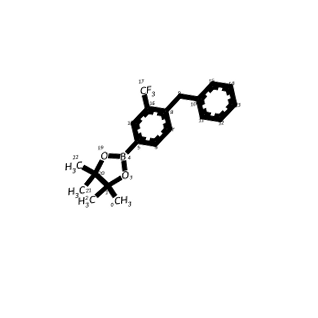 CC1(C)OB(c2ccc(Cc3ccccc3)c(C(F)(F)F)c2)OC1(C)C